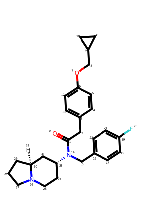 O=C(Cc1ccc(OCC2CC2)cc1)N(Cc1ccc(F)cc1)[C@@H]1CCN2CCC[C@H]2C1